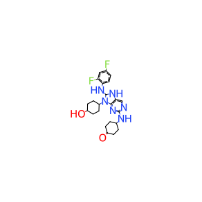 O=C1CCC(Nc2ncc3c(n2)N(C2CCC(O)CC2)C(Nc2ccc(F)cc2F)N3)CC1